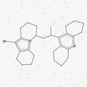 CC(C)c1c2c(n3c1CCCC3CC(C)c1c3c(nc4c1CCCC4)CCCC3)CCCC2